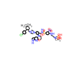 CN(CCCNc1ccc(S(=O)(=O)NC(=O)c2ccc(N3CCN(CC4=C(c5ccc(Cl)cc5)CC(C)(C)CC4)CC3)cc2N2CCCOc3nc4[nH]ccc4cc32)cc1[N+](=O)[O-])CP(=O)(O)O